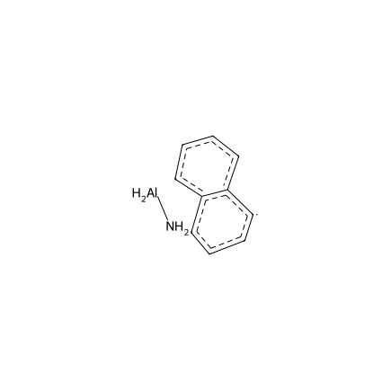 [NH2][AlH2].[c]1cccc2ccccc12